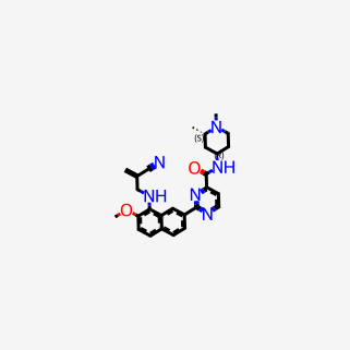 C=C(C#N)CNc1c(OC)ccc2ccc(-c3nccc(C(=O)N[C@@H]4CCN(C)[C@@H](C)C4)n3)cc12